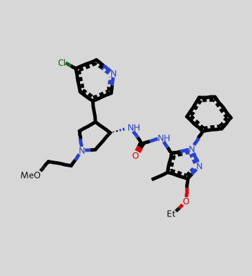 CCOc1nn(-c2ccccc2)c(NC(=O)N[C@@H]2CN(CCOC)CC2c2cncc(Cl)c2)c1C